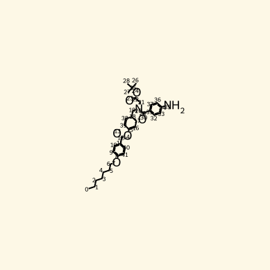 CCCCCCCOc1ccc(C(=O)OC2=CCC(CN(CC(=O)OC(C)(C)C)C(=O)c3ccc(N)cc3)C=C2)cc1